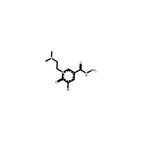 CN(C)CCn1cc(C(=O)NN)cc(Br)c1=O